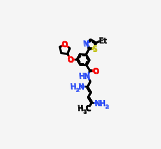 CCc1cnc(-c2cc(OC3CCOC3)cc(C(=O)NC/C(N)=C/C=C(/C)N)c2)s1